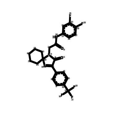 O=C(CN1C(=O)C(c2ccc(C(F)(F)F)cc2)=NC12CCCCC2)Nc1ccc(F)c(F)c1